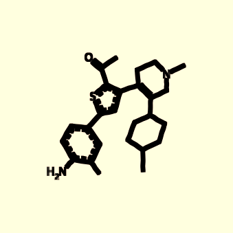 CC(=O)c1sc(-c2ccc(N)c(C)c2)cc1C1=C(C2CCC(C)CC2)CN(C)CC1